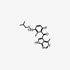 Cc1ncnc2[nH]cc(C(=O)c3c(F)ccc(NSCC(C)C)c3F)c12